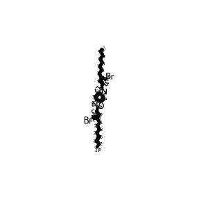 CCCCCCCCc1cc(-c2nc3cc4oc(-c5cc(CCCCCCCC)c(Br)s5)nc4cc3o2)sc1Br